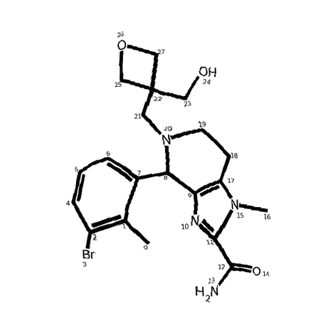 Cc1c(Br)cccc1C1c2nc(C(N)=O)n(C)c2CCN1CC1(CO)COC1